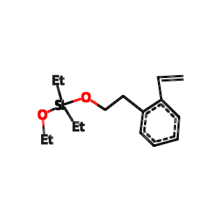 C=Cc1ccccc1CCO[Si](CC)(CC)OCC